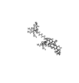 CC(C)N(C(C)C)P(OCCC#N)OCCCCCCNC(=O)c1ccc2c(c1)C1(OC2=O)c2ccc(OC(=O)C(C)(C)C)cc2Oc2cc3c(cc21)CCCN3C(=O)C(F)(F)F